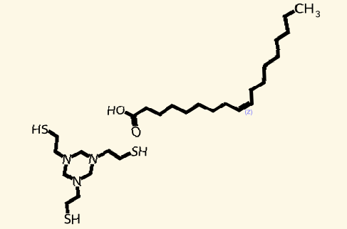 CCCCCCCC/C=C\CCCCCCCC(=O)O.SCCN1CN(CCS)CN(CCS)C1